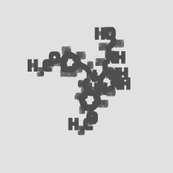 COc1ccc(CN(Cc2ccc(OC)cc2)C2NCNNC2CNCCO)cc1